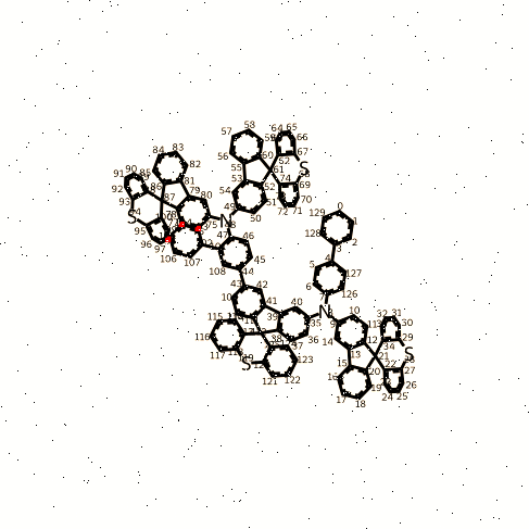 c1ccc(-c2ccc(N(c3ccc4c(c3)-c3ccccc3C43c4ccccc4Sc4ccccc43)c3ccc4c(c3)-c3cc(-c5ccc(N(c6ccc7c(c6)-c6ccccc6C76c7ccccc7Sc7ccccc76)c6ccc7c(c6)-c6ccccc6C76c7ccccc7Sc7ccccc76)c(-c6ccccc6)c5)ccc3C43c4ccccc4Sc4ccccc43)cc2)cc1